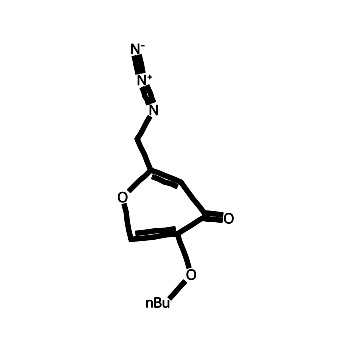 CCCCOc1coc(CN=[N+]=[N-])cc1=O